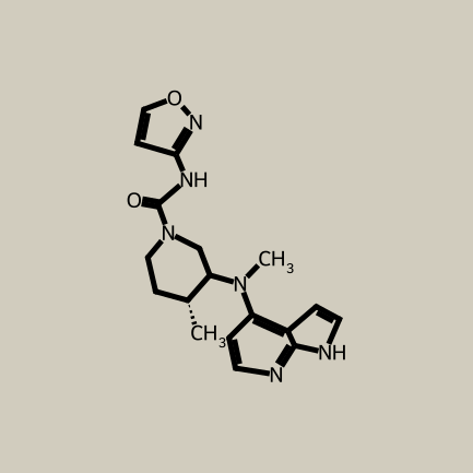 C[C@@H]1CCN(C(=O)Nc2ccon2)CC1N(C)c1ccnc2[nH]ccc12